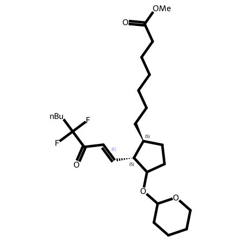 CCCCC(F)(F)C(=O)/C=C/[C@H]1C(OC2CCCCO2)CC[C@@H]1CCCCCCC(=O)OC